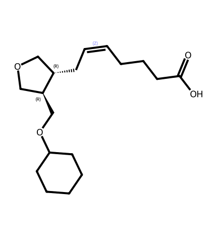 O=C(O)CCC/C=C\C[C@H]1COC[C@@H]1COC1CCCCC1